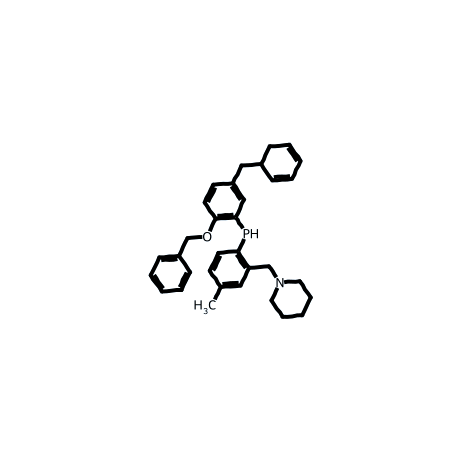 Cc1ccc(Pc2cc(CC3C=CC=CC3)ccc2OCc2ccccc2)c(CN2CCCCC2)c1